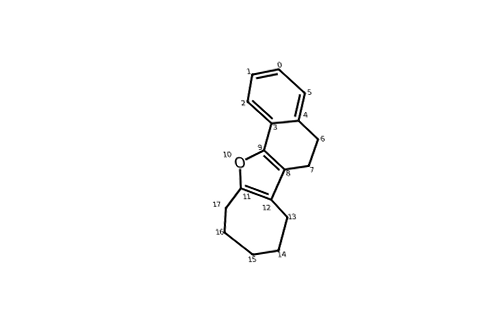 c1ccc2c(c1)CCc1c-2oc2c1CCCCC2